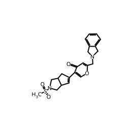 CS(=O)(=O)N1CC2C=C(c3coc(CN4Cc5ccccc5C4)cc3=O)CC2C1